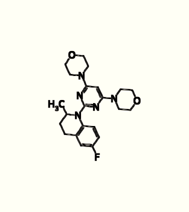 CC1CCc2cc(F)ccc2N1c1nc(N2CCOCC2)cc(N2CCOCC2)n1